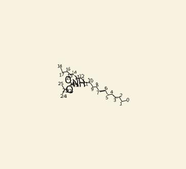 CCCCCCC=CCCCCCC(CCCCC)NC(=O)OC(C)C